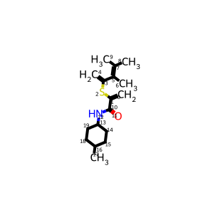 C=C(SC(=C)C(C)=C(C)C)C(=O)NC1CCC(C)CC1